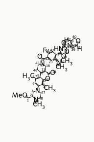 COC[C@H]1CN(c2cc(C)c3c4c(c(=O)oc3c2C)CN(C(=O)c2cc(N(C)C)c(C(=O)NS(=O)(=O)N3C[C@@H]5C[C@H]3CO5)cc2F)CC4)CCN1C